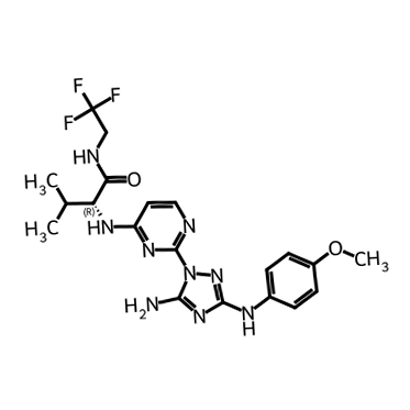 COc1ccc(Nc2nc(N)n(-c3nccc(N[C@@H](C(=O)NCC(F)(F)F)C(C)C)n3)n2)cc1